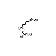 CCCCCCCCCCCCCC(=O)OCC(CC)CCCC